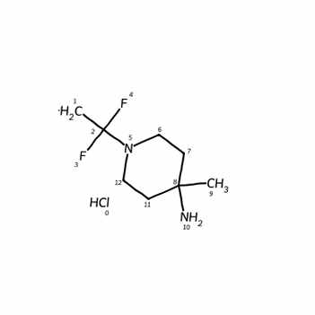 Cl.[CH2]C(F)(F)N1CCC(C)(N)CC1